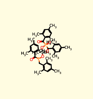 Cc1cc(C)c(CP(O[Si](C)(C)OP(=O)(C(=O)c2c(C)cc(C)cc2C)C(=O)c2c(C)cc(C)cc2C)C(=O)c2c(C)cc(C)cc2C)c(C)c1